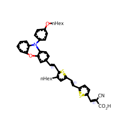 CCCCCCOc1ccc(N2c3ccccc3Oc3cc(/C=C/c4sc(/C=C/c5ccc(/C=C(\C#N)C(=O)O)s5)cc4CCCCCC)ccc32)cc1